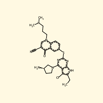 CCc1[nH]c2nc(Sc3ccc4c(c3)c(=O)c(C#N)cn4CCCN(C)C)nc(N3CC[C@@H](N)C3)c2c1Cl